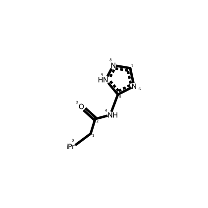 CC(C)CC(=O)Nc1ncn[nH]1